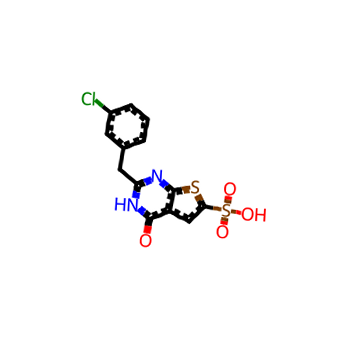 O=c1[nH]c(Cc2cccc(Cl)c2)nc2sc(S(=O)(=O)O)cc12